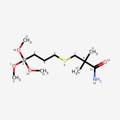 CO[Si](CCCSCC(C)(C)C(N)=O)(OC)OC